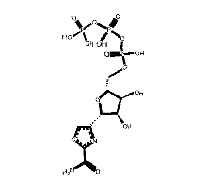 NC(=O)c1nc([C@@H]2O[C@H](COP(=O)(O)OP(=O)(O)OP(=O)(O)O)[C@@H](O)[C@H]2O)co1